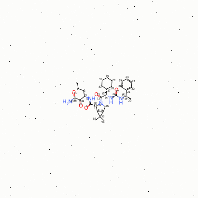 CCCC(NC(=O)[C@@H]1C2C(CN1C(=O)[C@@H](NC(=O)N[C@H](C)c1ccccc1)C1CCCCC1)C2(C)C)C(=O)C(N)=O